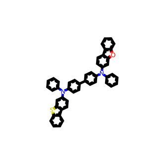 c1ccc(N(c2ccc(-c3ccc(N(c4ccccc4)c4ccc5c(c4)sc4ccccc45)cc3)cc2)c2ccc3c(c2)oc2ccccc23)cc1